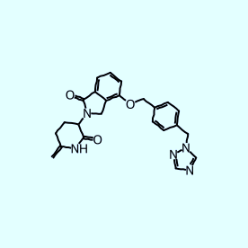 C=C1CCC(N2Cc3c(OCc4ccc(Cn5cncn5)cc4)cccc3C2=O)C(=O)N1